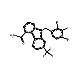 NC(=O)c1cccc2c1c1[c]cc(C(F)(F)F)cc1n2Cc1ccc(F)c(F)c1F